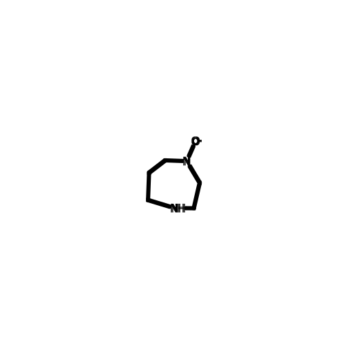 [O]N1CCCNCC1